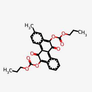 CCCOC(=O)OC1=c2ccccc2=C2C(=O)C(OC(=O)OCCC)=c3cc(C)ccc3=C2C1=O